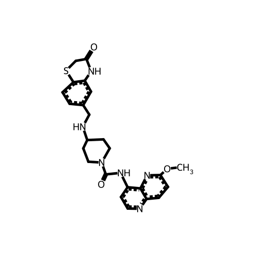 COc1ccc2nccc(NC(=O)N3CCC(NCc4ccc5c(c4)NC(=O)CS5)CC3)c2n1